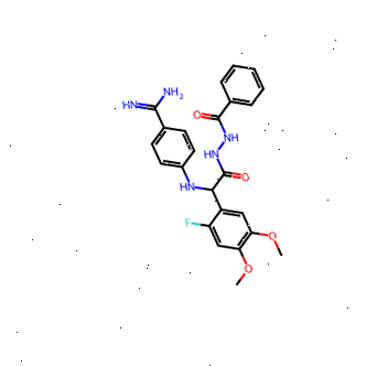 COc1cc(F)c(C(Nc2ccc(C(=N)N)cc2)C(=O)NNC(=O)c2ccccc2)cc1OC